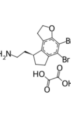 NCC[C@@H]1CCc2c(Br)c(Br)c3c(c21)CCO3.O=C(O)C(=O)O